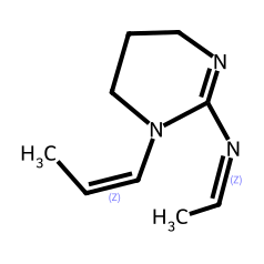 C/C=C\N1CCCN=C1/N=C\C